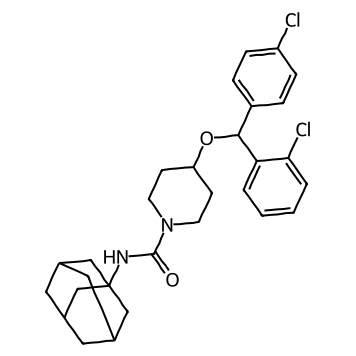 O=C(NC12CC3CC(CC(C3)C1)C2)N1CCC(OC(c2ccc(Cl)cc2)c2ccccc2Cl)CC1